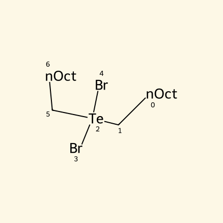 CCCCCCCCC[Te](Br)(Br)CCCCCCCCC